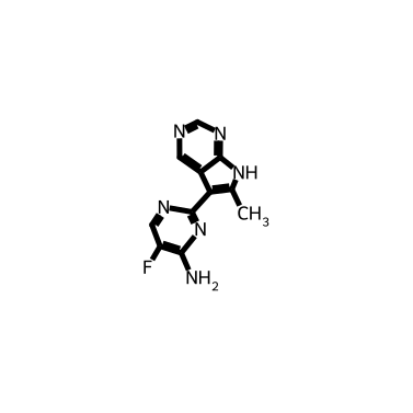 Cc1[nH]c2ncncc2c1-c1ncc(F)c(N)n1